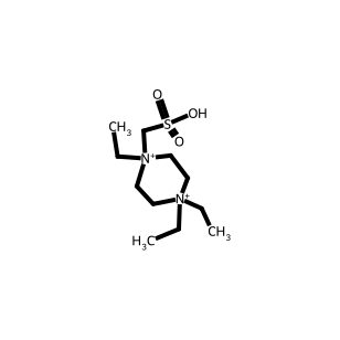 CC[N+]1(CC)CC[N+](CC)(CS(=O)(=O)O)CC1